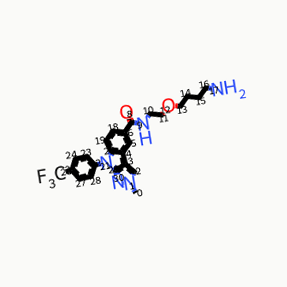 Cn1cc2c3cc(C(=O)NCCOCCCCN)ccc3n(-c3ccc(C(F)(F)F)cc3)c2n1